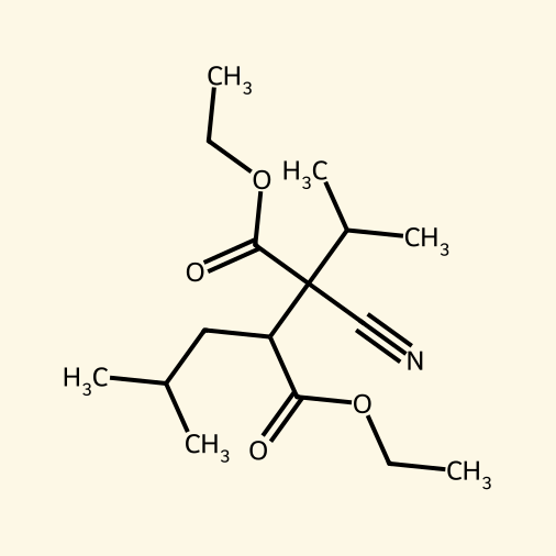 CCOC(=O)C(CC(C)C)C(C#N)(C(=O)OCC)C(C)C